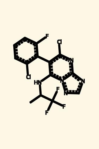 CC(Nc1c(-c2c(F)cccc2Cl)c(Cl)nc2ncnn12)C(F)(F)F